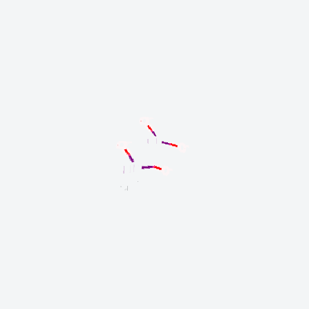 [O-]P[O-].[O-]P[O-].[Sn+4]